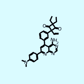 C=CC1(c2cccc(-c3cc(-c4ccc(N(C)C)cc4)nc4ncnc(N)c34)c2)C(=O)C(CC)(CC)C1=O